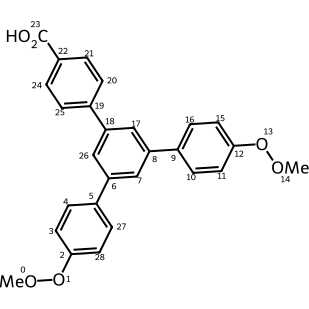 COOc1ccc(-c2cc(-c3ccc(OOC)cc3)cc(-c3ccc(C(=O)O)cc3)c2)cc1